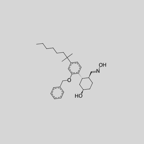 CCCCCCC(C)(C)c1ccc([C@H]2C[C@H](O)CC[C@@H]2C=NO)c(OCc2ccccc2)c1